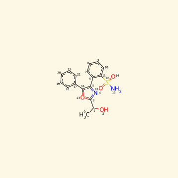 CC(O)c1nc(-c2ccccc2S(N)(=O)=O)c(-c2ccccc2)o1